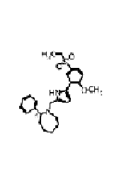 CCS(=O)(=O)c1ccc(OC)c(-c2ccc(CN3CCCCC[C@H]3c3ccccc3)[nH]2)c1